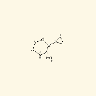 C1COC(C2CC2)CN1.Cl